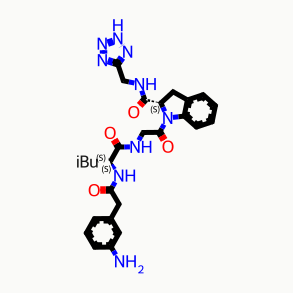 CC[C@H](C)[C@H](NC(=O)Cc1cccc(N)c1)C(=O)NCC(=O)N1c2ccccc2C[C@H]1C(=O)NCc1nn[nH]n1